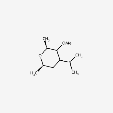 COC1C(N(C)C)C[C@@H](C)O[C@H]1C